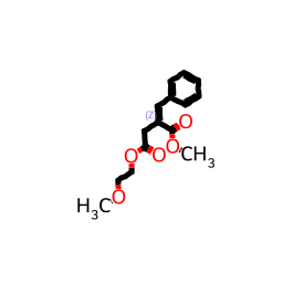 COCCOC(=O)C/C(=C/c1ccccc1)C(=O)OC